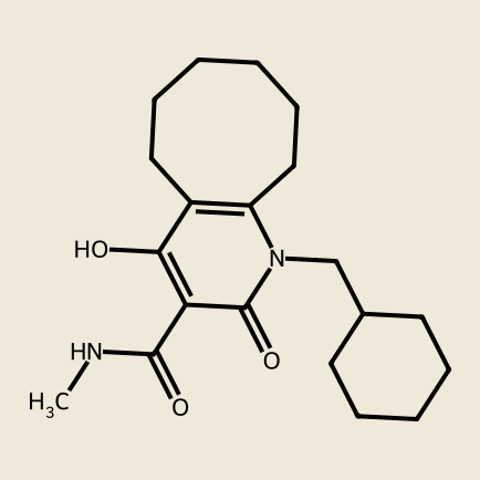 CNC(=O)c1c(O)c2c(n(CC3CCCCC3)c1=O)CCCCCC2